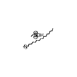 CCCCCCCCCCCCCCCC[N+](C)(C)C.CCS(=O)(=O)O